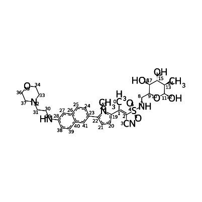 C/C(=C(/C#N)S(=O)(=O)NCC1OC(O)[C@H](C)[C@@H](O)[C@@H]1O)c1ccc(-c2ccc3cc(NCCN4CCOCC4)ccc3c2)n1C